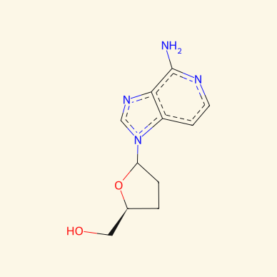 Nc1nccc2c1ncn2C1CC[C@@H](CO)O1